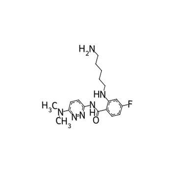 CN(C)c1ccc(NC(=O)c2ccc(F)cc2NCCCCCN)nn1